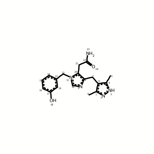 Cc1n[nH]c(C)c1Cc1ncn(Cc2cccc(O)c2)c1CC(N)=O